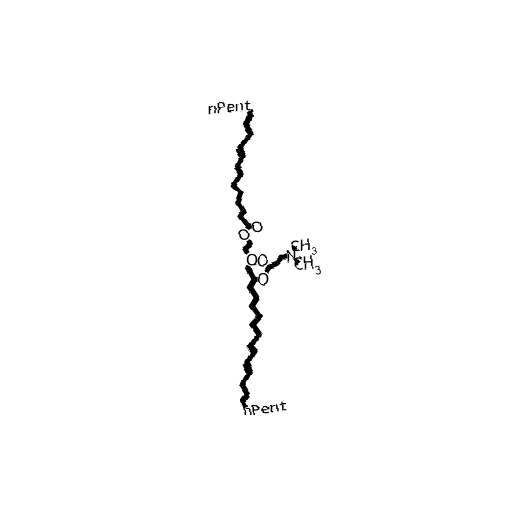 CCCCCC=CCC=CCCCCCCCCC(COCCOC(=O)CCCCCCCC=CCC=CCCCCC)OC(=O)CCN(C)C